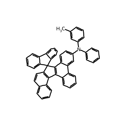 Cc1cccc(N(c2ccccc2)c2ccc3c4c(c5ccccc5c3c2)-c2c(ccc3ccccc23)C42c3ccccc3-c3ccccc32)c1